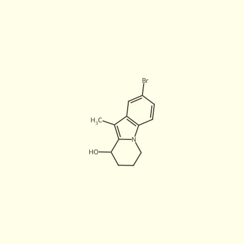 Cc1c2n(c3ccc(Br)cc13)CCCC2O